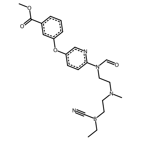 CCB(C#N)CCN(C)CCN(C=O)c1ccc(Oc2cccc(C(=O)OC)c2)cn1